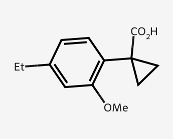 CCc1ccc(C2(C(=O)O)CC2)c(OC)c1